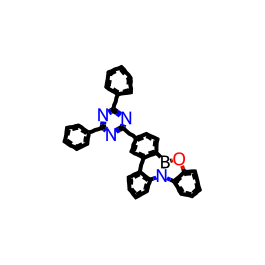 c1ccc(-c2nc(-c3ccccc3)nc(-c3ccc4c(c3)-c3ccccc3N3B4Oc4ccccc43)n2)cc1